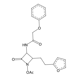 CC(=O)ON1C(=O)C(NC(=O)COc2ccccc2)C1CCc1ccco1